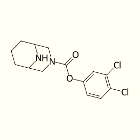 O=C(Oc1ccc(Cl)c(Cl)c1)N1CC2CCCC(C1)N2